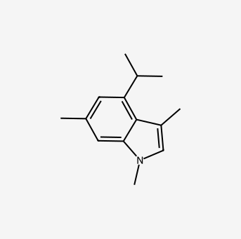 Cc1cc(C(C)C)c2c(C)cn(C)c2c1